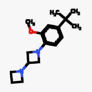 COc1cc(C(C)(C)C)ccc1N1CC(N2CCC2)C1